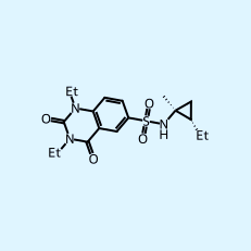 CC[C@H]1C[C@]1(C)NS(=O)(=O)c1ccc2c(c1)c(=O)n(CC)c(=O)n2CC